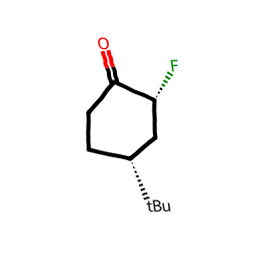 CC(C)(C)[C@@H]1CCC(=O)[C@H](F)C1